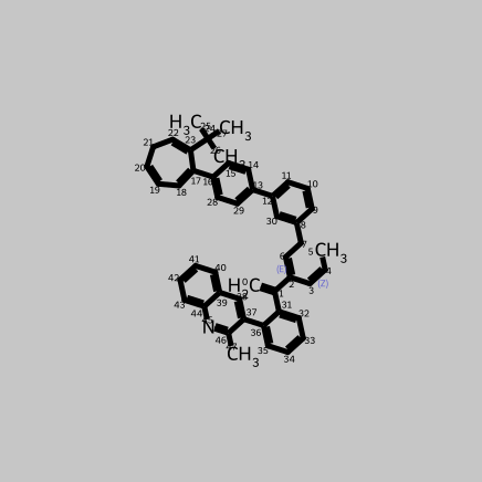 C=C(C(/C=C\C)=C/Cc1cccc(-c2ccc(C3=CC=CCC=C3C(C)(C)C)cc2)c1)c1ccccc1-c1cc2ccccc2nc1C